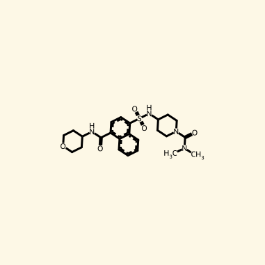 CN(C)C(=O)N1CCC(NS(=O)(=O)c2ccc(C(=O)NC3CCOCC3)c3ccccc23)CC1